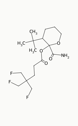 CC(C)(C)C1CCCOC1(OC(=O)CCC(CF)(CF)CF)C(N)=O